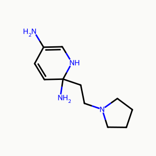 NC1=CNC(N)(CCN2CCCC2)C=C1